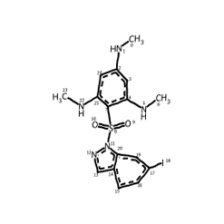 CNc1cc(NC)c(S(=O)(=O)n2ncc3ccc(I)cc32)c(NC)c1